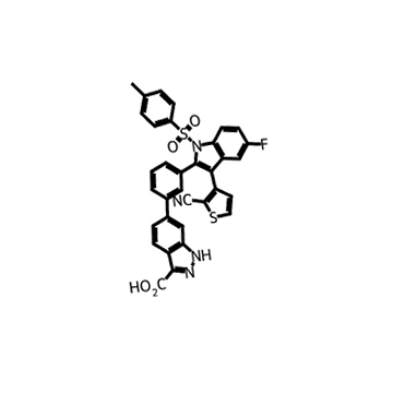 Cc1ccc(S(=O)(=O)n2c(-c3cccc(-c4ccc5c(C(=O)O)n[nH]c5c4)c3)c(-c3ccsc3C#N)c3cc(F)ccc32)cc1